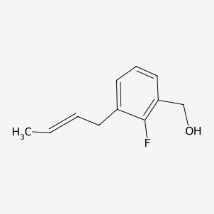 C/C=C/Cc1cccc(CO)c1F